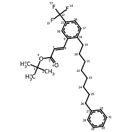 CC(C)(C)OC(=O)C=Cc1cc(C(F)(F)F)ccc1CCCCCCCCc1ccccc1